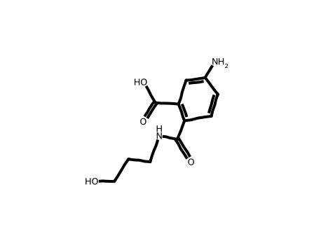 Nc1ccc(C(=O)NCCCO)c(C(=O)O)c1